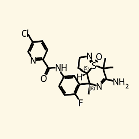 CC1(C)C(N)=N[C@](C)(c2cc(NC(=O)c3ccc(Cl)cn3)ccc2F)[C@@H]2CCN=S21=O